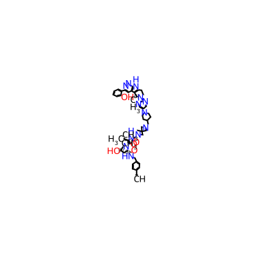 C#Cc1ccc(CNC(=O)[C@@H]2C[C@@H](O)CN2C(=O)[C@@H](NC(=O)N2CC3(CN(CC4CCN(c5cnc(N6CCc7[nH]c8nnc(-c9ccccc9O)cc8c7[C@@H]6C)nc5)CC4)C3)C2)C(C)(C)C)cc1